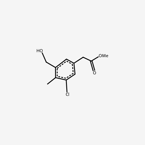 COC(=O)Cc1cc(Cl)c(C)c(CO)c1